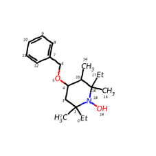 CCC1(C)CC(OCc2ccccc2)C(C)C(C)(CC)N1O